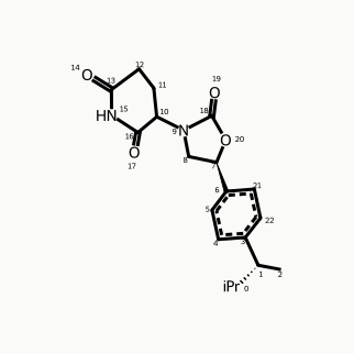 CC(C)[C@@H](C)c1ccc([C@H]2CN(C3CCC(=O)NC3=O)C(=O)O2)cc1